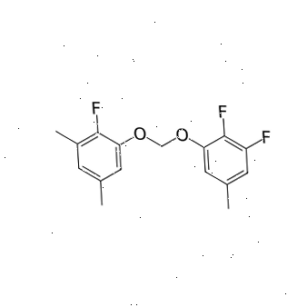 Cc1cc(C)c(F)c(OCOc2cc(C)cc(F)c2F)c1